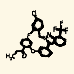 CCC(=O)c1ccccc1Oc1cccc(-c2c3cccc(C(F)(F)F)c3nn2Cc2ccc(Cl)cc2F)c1